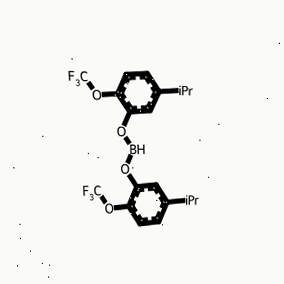 CC(C)c1ccc(OC(F)(F)F)c(OBOc2cc(C(C)C)ccc2OC(F)(F)F)c1